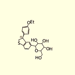 CCOc1ccc([C@@H]2CSc3ccc(C4OC(CO)C(O)C(O)C4O)cc32)cc1